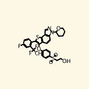 CC(F)(F)c1cc(F)ccc1-c1sc2c(ccc3c2cnn3C2CCCCO2)c1Oc1ccc(S(=O)(=O)CCO)cc1